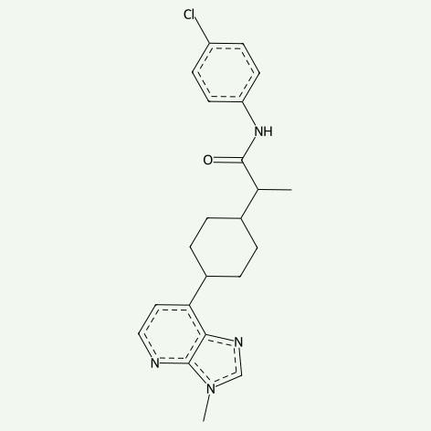 CC(C(=O)Nc1ccc(Cl)cc1)C1CCC(c2ccnc3c2ncn3C)CC1